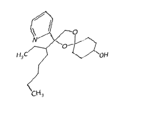 CCCCCC(CC)C1(c2ccccn2)COC2(CCC(O)CC2)O1